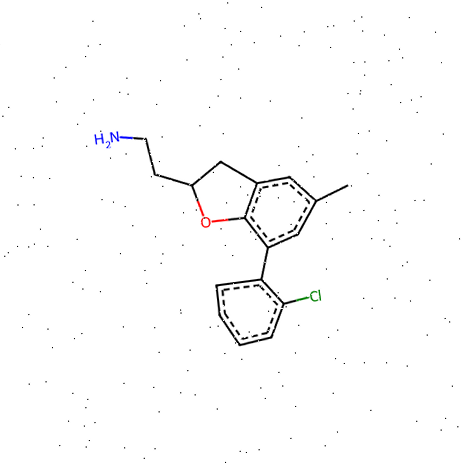 Cc1cc2c(c(-c3ccccc3Cl)c1)OC(CCN)C2